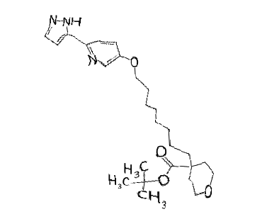 CC(C)(C)OC(=O)C1(CCCCCCCCOc2ccc(-c3ccn[nH]3)nc2)CCOCC1